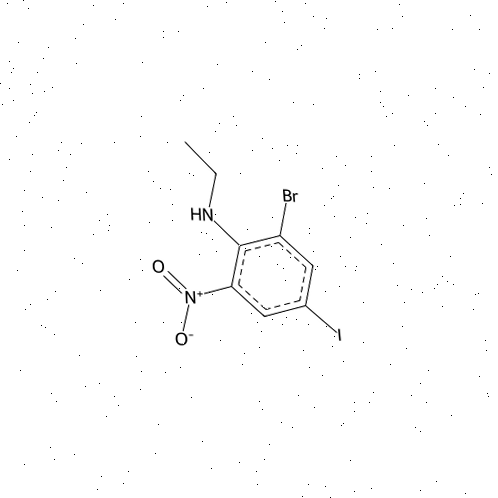 CCNc1c(Br)cc(I)cc1[N+](=O)[O-]